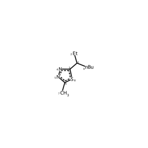 CCCCC(CC)c1nnc(C)s1